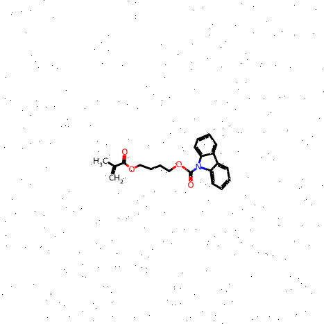 C=C(C)C(=O)OCCCCOC(=O)n1c2ccccc2c2ccccc21